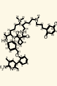 Cc1cc(-c2ccccc2OCc2ccc(NC(C)C(CCCCN(C)C)NC(=O)C3(C(=O)NCCCCCN(C)CCCC4=CC(=O)C=CC4=O)CCC3)cc2)c(C)nc1N